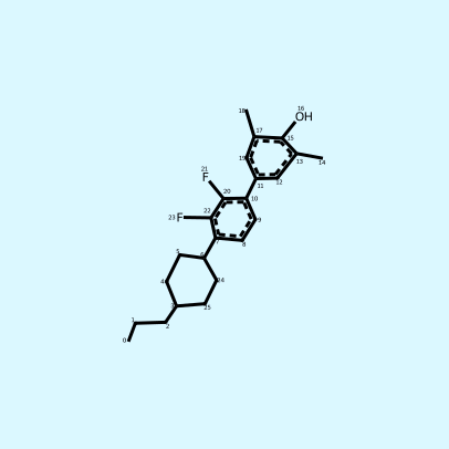 CCCC1CCC(c2ccc(-c3cc(C)c(O)c(C)c3)c(F)c2F)CC1